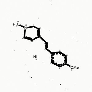 COc1ccc(C=CC2=CCN(C)C=C2)cc1.I